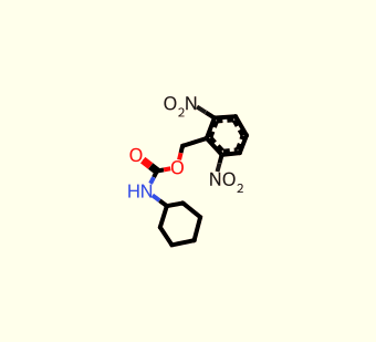 O=C(NC1CCCCC1)OCc1c([N+](=O)[O-])cccc1[N+](=O)[O-]